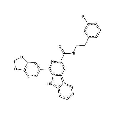 O=C(NCCc1cccc(F)c1)c1cc2c([nH]c3ccccc32)c(-c2ccc3c(c2)OCO3)n1